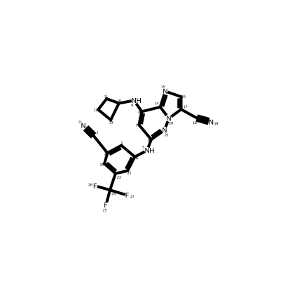 N#Cc1cc(Nc2cc(NC3CCC3)c3ncc(C#N)n3n2)cc(C(F)(F)F)c1